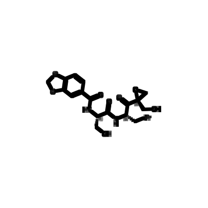 CC(C)C[C@H](NC(=O)[C@H](CO)NC(=O)c1ccc2c(c1)OCO2)C(=O)[C@@]1(CO)CO1